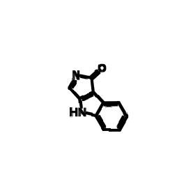 O=C1N=Cc2[nH]c3ccccc3c21